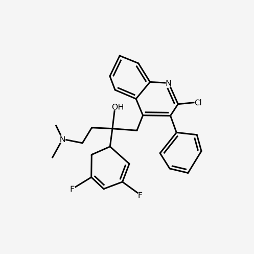 CN(C)CCC(O)(Cc1c(-c2ccccc2)c(Cl)nc2ccccc12)C1C=C(F)C=C(F)C1